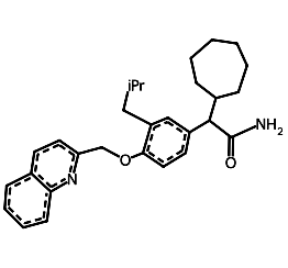 CC(C)Cc1cc(C(C(N)=O)C2CCCCCC2)ccc1OCc1ccc2ccccc2n1